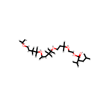 CC(C)CC(C(=O)OCCOC(C)(C)CCOC(C)(C)C(C)(C)CC(C)OC(C)(C)C(C)(C)CCOC(C)C)C(C)C